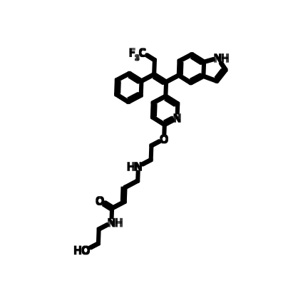 O=C(/C=C/CNCCOc1ccc(/C(=C(/CC(F)(F)F)c2ccccc2)c2ccc3[nH]ccc3c2)cn1)NCCO